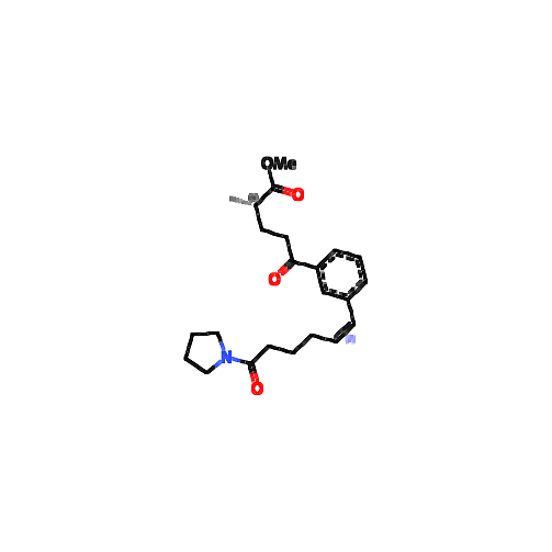 COC(=O)[C@@H](C)CCC(=O)c1cccc(/C=C\CCCC(=O)N2CCCC2)c1